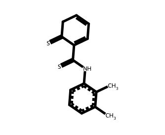 Cc1cccc(NC(=S)C2=CC=CCC2=S)c1C